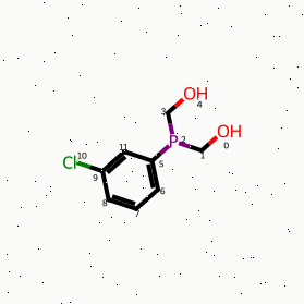 OCP(CO)c1cccc(Cl)c1